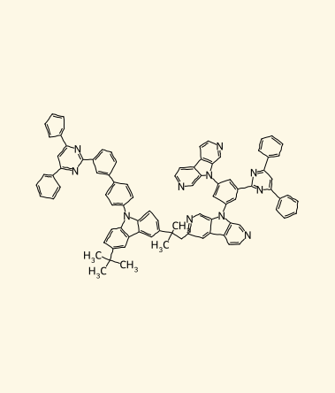 CC(C)(C)c1ccc2c(c1)c1cc(C(C)(C)Cc3cc4c5ccncc5n(-c5cc(-c6nc(-c7ccccc7)cc(-c7ccccc7)n6)cc(-n6c7cnccc7c7ccncc76)c5)c4cn3)ccc1n2-c1ccc(-c2cccc(-c3nc(-c4ccccc4)cc(-c4ccccc4)n3)c2)cc1